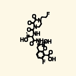 C[C@@H](O)C(NC(=O)N1CCN(CCF)C(=O)C1=O)C(=O)N[C@H]1Cc2ccc(F)c(C(=O)O)c2OB1O